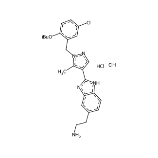 Cc1c(-c2nc3cc(CCN)ccc3[nH]2)cnn1Cc1cc(Cl)ccc1OCC(C)C.Cl.Cl